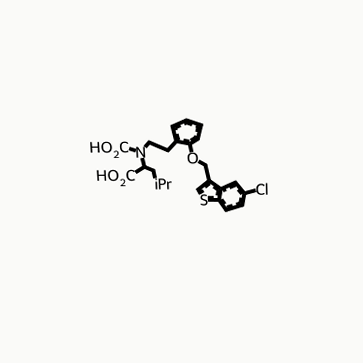 CC(C)CC(C(=O)O)N(CCc1ccccc1OCc1csc2ccc(Cl)cc12)C(=O)O